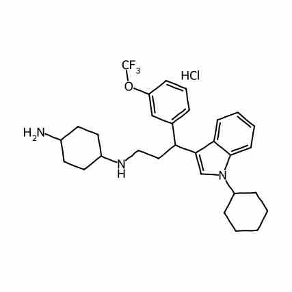 Cl.NC1CCC(NCCC(c2cccc(OC(F)(F)F)c2)c2cn(C3CCCCC3)c3ccccc23)CC1